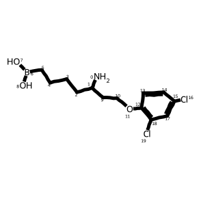 NC(CCCCB(O)O)CCOc1ccc(Cl)cc1Cl